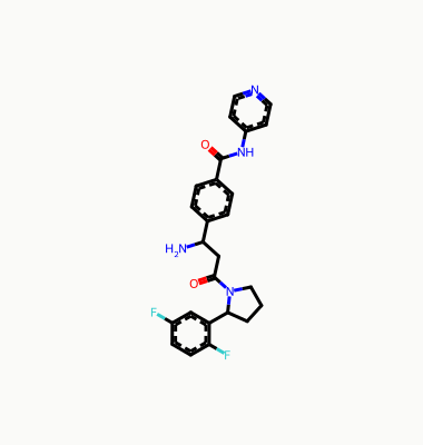 NC(CC(=O)N1CCCC1c1cc(F)ccc1F)c1ccc(C(=O)Nc2ccncc2)cc1